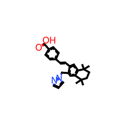 CC1(C)CCC(C)(C)c2cc(Cn3cccn3)c(/C=C/c3ccc(C(=O)O)cc3)cc21